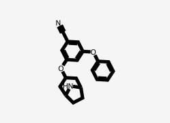 N#Cc1cc(Oc2ccccc2)cc(OC2CC3CCC(C2)N3)c1